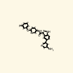 Nc1cncc(-c2ccc3[nH]nc(C(=O)Nc4ccc(Oc5cccc(F)c5)nc4)c3c2)c1